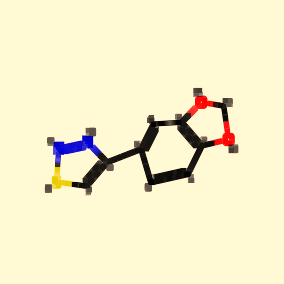 c1cc2c(cc1-c1csnn1)OCO2